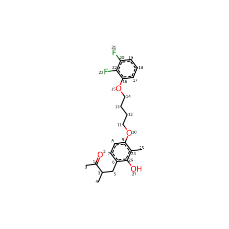 CC(=O)C(C)Cc1ccc(OCCCCOc2cccc(F)c2F)c(C)c1O